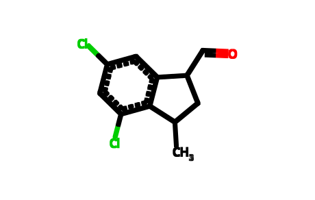 CC1CC(C=O)c2cc(Cl)cc(Cl)c21